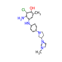 Cc1cc(Nc2ccc(N3CCC(n4cc[n+](C)c4)C3)cc2)c(N)c(Cl)c1O